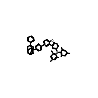 Cc1cc(C)c(B(c2ccc3oc4ccc(-c5ccc(C67CC8CC(CC(c9ccccc9)(C8)C6)C7)cc5)cc4c3c2)c2c(C)cc(C)cc2C)c(C)c1